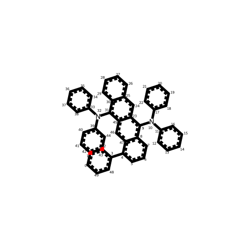 c1ccc(-c2cccc3c(N(c4ccccc4)c4ccccc4)c4cc5ccccc5c(N(c5ccccc5)c5ccccc5)c4cc23)cc1